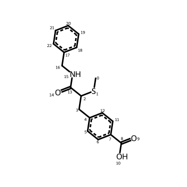 CSC(Cc1ccc(C(=O)O)cc1)C(=O)NCc1ccccc1